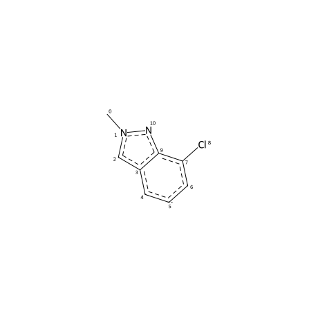 Cn1cc2c[c]cc(Cl)c2n1